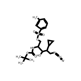 Cc1cccc(S(=O)(=O)OCC(NC(=O)OC(C)(C)C)C(O)C(CN=[N+]=[N-])C2CC2)c1